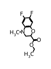 CCOC(=O)C1CN(C)c2cc(F)c(F)cc2O1